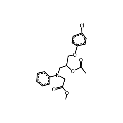 COC(=O)CN(CC(COc1ccc(Cl)cc1)OC(C)=O)c1ccccc1